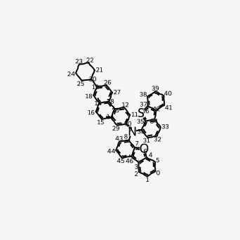 c1ccc2c(c1)oc1c(N(c3ccc4c(ccc5cc(C6CCCCC6)ccc54)c3)c3cccc4c3sc3ccccc34)cccc12